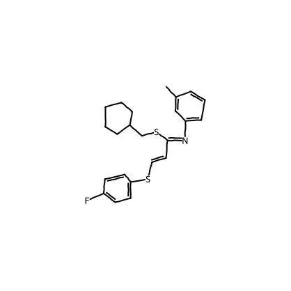 Cc1cccc(N=C(C=CSc2ccc(F)cc2)SCC2CCCCC2)c1